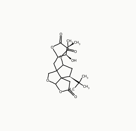 CC(=O)OC1C[C@@H](C(C)(C)C)C23CC(=O)OC2OCC13CC1OC(=O)[C@@H](C)[C@H]1O